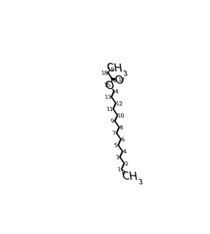 CCCCCCCCCCCCCCCOC(=O)CC